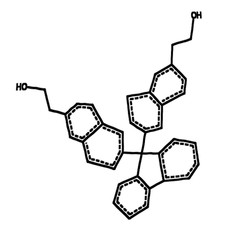 OCCc1ccc2cc(C3(c4ccc5cc(CCO)ccc5c4)c4ccccc4-c4ccccc43)ccc2c1